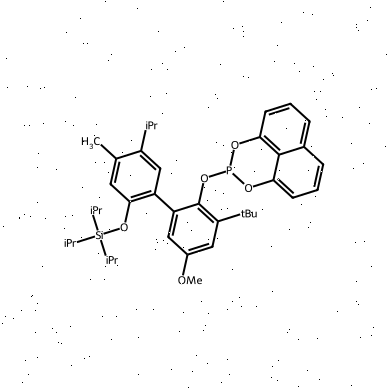 COc1cc(-c2cc(C(C)C)c(C)cc2O[Si](C(C)C)(C(C)C)C(C)C)c(OP2Oc3cccc4cccc(c34)O2)c(C(C)(C)C)c1